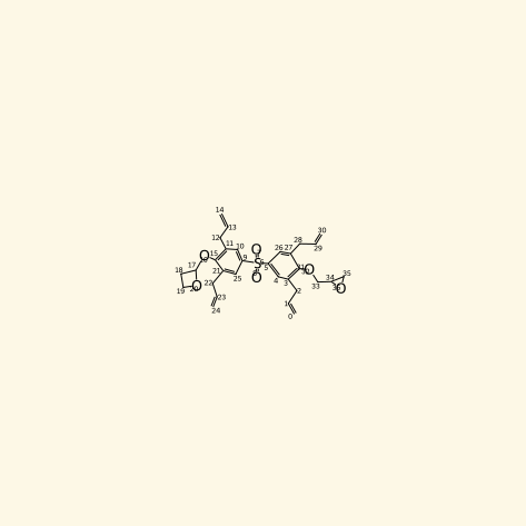 C=CCc1cc(S(=O)(=O)c2cc(CC=C)c(OC3CCO3)c(CC=C)c2)cc(CC=C)c1OCC1CO1